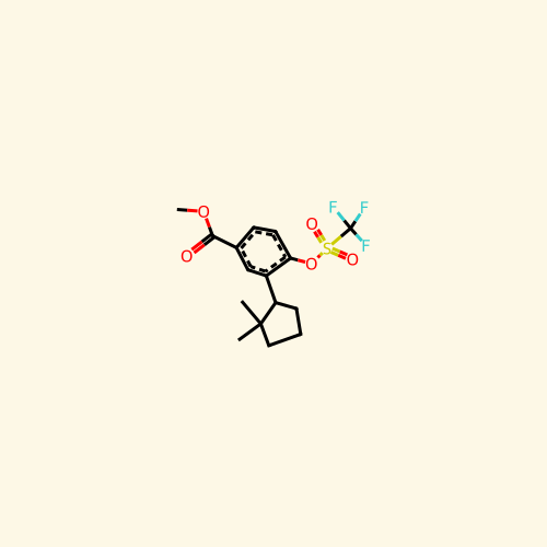 COC(=O)c1ccc(OS(=O)(=O)C(F)(F)F)c(C2CCCC2(C)C)c1